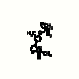 Cc1nc2c(-c3ccc(OC[C@@](C)(N)CC(C)C)c(C)c3)ccnc2[nH]1